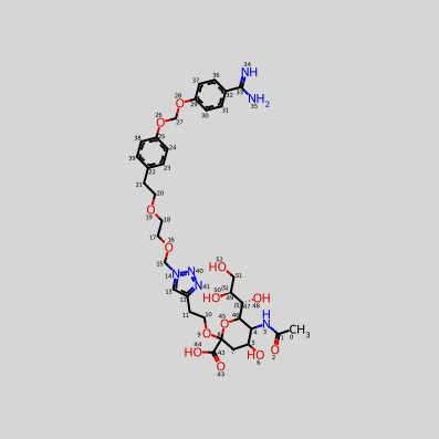 CC(=O)NC1C(O)CC(OCCc2cn(COCCOCCc3ccc(OCOc4ccc(C(=N)N)cc4)cc3)nn2)(C(=O)O)OC1[C@@H](O)[C@@H](O)CO